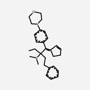 CCC(CCc1ccccc1)(/C(=C1/C=CCC1)c1ccc(N2CCOCC2)cc1)N(C)C